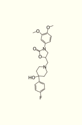 COc1ccc(N2CC(CN3CCC(O)(c4ccc(F)cc4)CC3)OC2=O)cc1OC